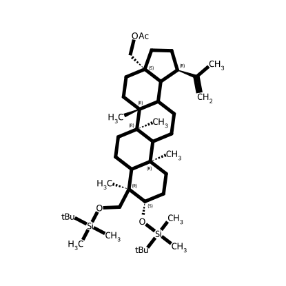 C=C(C)[C@@H]1CC[C@]2(COC(C)=O)CC[C@]3(C)C(CCC4[C@@]5(C)CC[C@H](O[Si](C)(C)C(C)(C)C)[C@@](C)(CO[Si](C)(C)C(C)(C)C)C5CC[C@]43C)C12